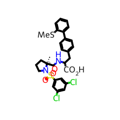 CSc1ccccc1-c1ccc(CC(NC(=O)[C@]2(C)CCCN2S(=O)(=O)c2cc(Cl)cc(Cl)c2)C(=O)O)cc1